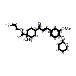 C=CCOC(=O)C1(C)CCC(C(=O)/C=C/c2ccc(OC3CCCCO3)c(OC)c2)CC1